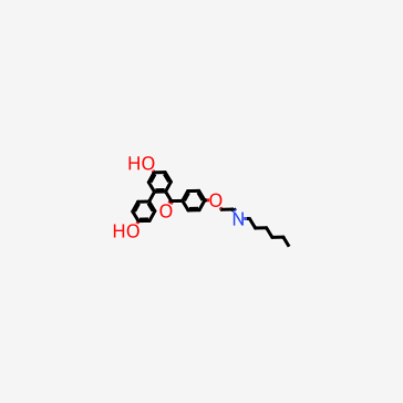 CCCCCCN=CCOc1ccc(C(=O)c2ccc(O)cc2-c2ccc(O)cc2)cc1